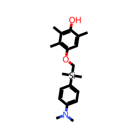 Cc1cc(OC[Si](C)(C)c2ccc(N(C)C)cc2)c(C)c(C)c1O